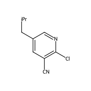 CC(C)Cc1cnc(Cl)c(C#N)c1